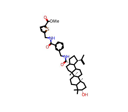 C=C(C)[C@@H]1CC[C@]2(C(=O)NCc3cccc(C(=O)NCc4ccc(C(=O)OC)s4)c3)CC[C@]3(C)C(CCC4[C@@]5(C)CC[C@H](O)C(C)(C)C5CC[C@]43C)C12